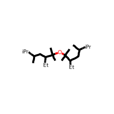 CCC(CC(C)C(C)C)C(C)(C)OC(C)(C)C(CC)CC(C)C(C)C